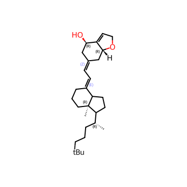 C[C@H](CCCC(C)(C)C)C1CCC2/C(=C/C=C3/C[C@@H](O)C4=CCO[C@@H]4C3)CCC[C@@]21C